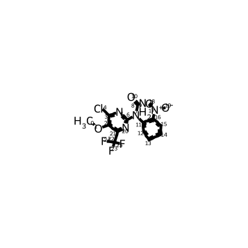 COc1c(Cl)nc(N(C(N)=O)c2ccccc2[N+](=O)[O-])nc1C(F)(F)F